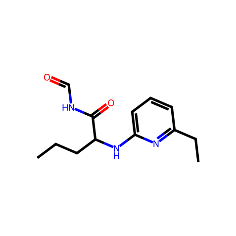 CCCC(Nc1cccc(CC)n1)C(=O)NC=O